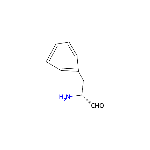 N[C@@H](C=O)Cc1ccccc1